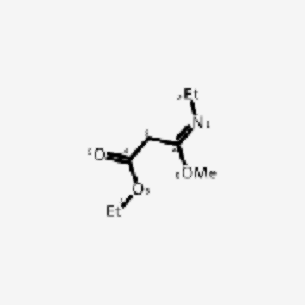 CCN=C(CC(=O)OCC)OC